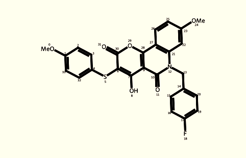 COc1ccc(Sc2c(O)c3c(=O)n(Cc4ccc(F)cc4)c4cc(OC)ccc4c3oc2=O)cc1